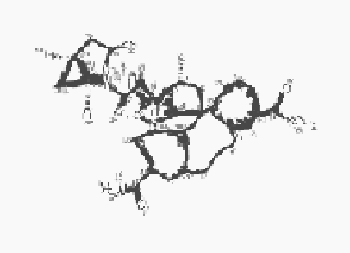 C[C@H](CC1(c2nc(=O)o[nH]2)c2ccc(C(N)=O)cc2CCc2cc(C(N)=O)ccc21)NCC(=O)N1C(C#N)C[C@@H]2C[C@@H]21